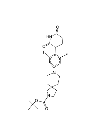 CC(C)(C)OC(=O)N1CCC2(CCN(c3cc(F)c(C4CCC(=O)NC4=O)c(F)c3)CC2)C1